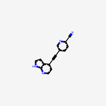 N#Cc1ccc(C#Cc2ccnc3[nH]ccc23)cn1